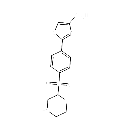 O=C(O)c1csc(-c2ccc(S(=O)(=O)C3CNCCO3)cc2)n1